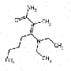 CCCCC(=C(C)C(N)=O)N(CC)CC